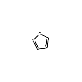 [c]1c[c]on1